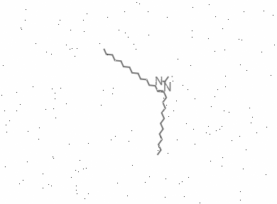 [CH2]c1nc(CCCCCCCCCCCC)cc(CCCCCCCCCCCC)n1